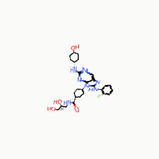 O=C(NC[C@H](O)CO)[C@H]1CC[C@@H](n2c(Nc3ccccc3F)nc3cnc(N[C@H]4CC[C@H](O)CC4)nc32)CC1